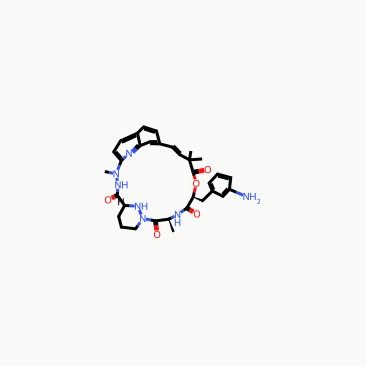 C[C@@H]1NC(=O)[C@H](Cc2cccc(N)c2)OC(=O)C(C)(C)/C=C/c2ccc3ccc(nc3c2)N(C)NC(=O)[C@@H]2CCCN(N2)C1=O